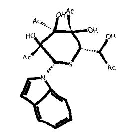 CC(=O)C(O)[C@@H]1S[C@H](n2ccc3ccccc32)[C@@](O)(C(C)=O)[C@](O)(C(C)=O)[C@@]1(O)C(C)=O